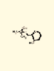 CC(C)(C)[Si](C)(C)OC[C@H]1OCCC[C@@H]1O